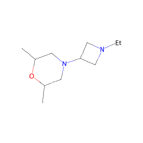 CCN1CC(N2CC(C)OC(C)C2)C1